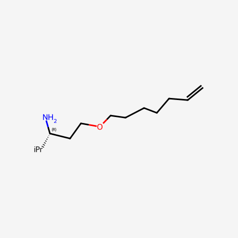 C=CCCCCCOCC[C@@H](N)C(C)C